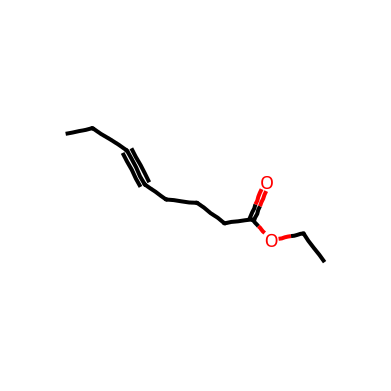 CCC#CCCCC(=O)OCC